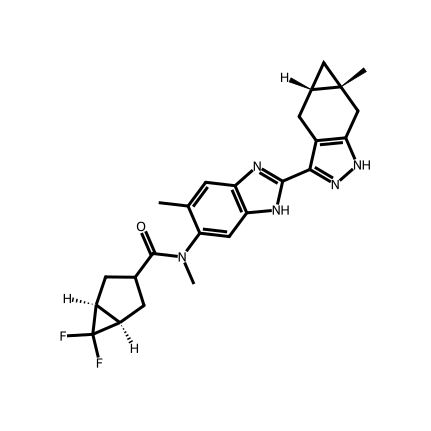 Cc1cc2nc(-c3n[nH]c4c3C[C@@H]3C[C@]3(C)C4)[nH]c2cc1N(C)C(=O)C1C[C@@H]2[C@H](C1)C2(F)F